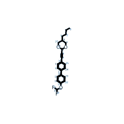 CCCCC1COC(C#Cc2ccc(-c3ccc(OC(F)F)cc3)cc2)OC1